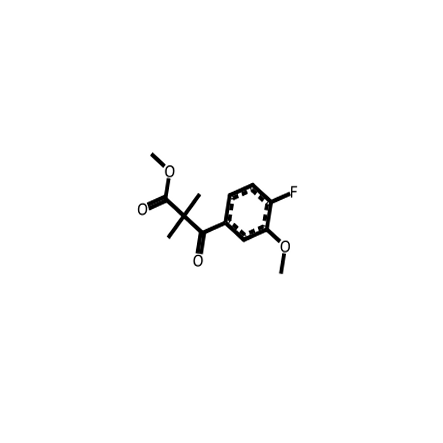 COC(=O)C(C)(C)C(=O)c1ccc(F)c(OC)c1